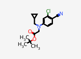 CC(C)(C)OC(=O)CN(CC1CC1)c1ccc(C#N)c(Cl)c1